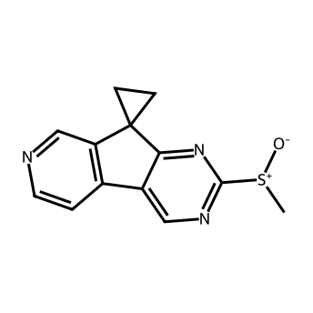 C[S+]([O-])c1ncc2c(n1)C1(CC1)c1cnccc1-2